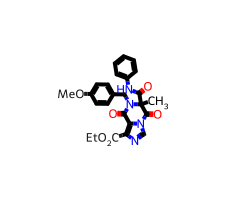 CCOC(=O)c1ncn2c1C(=O)N(Cc1ccc(OC)cc1)C(C)(C(=O)Nc1ccccc1)C2=O